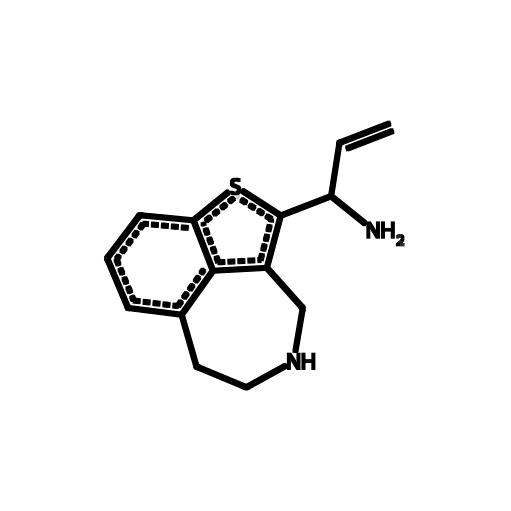 C=CC(N)c1sc2cccc3c2c1CNCC3